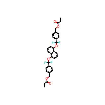 C=CC(=O)OCc1ccc(C(F)(F)Oc2cccc3c(OC(F)(F)c4ccc(COC(=O)C=C)cc4)cccc23)cc1